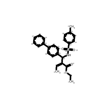 CC=C(C(=O)OCC)C(NS(=O)(=O)c1ccc(C)cc1)c1ccc(-c2ccccc2)cc1